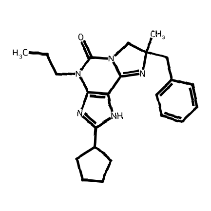 CCCN1C(=O)N2CC(C)(Cc3ccccc3)N=C2c2[nH]c(C3CCCC3)nc21